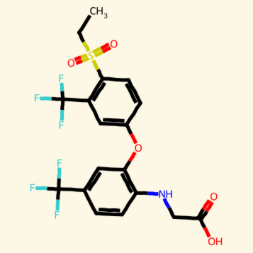 CCS(=O)(=O)c1ccc(Oc2cc(C(F)(F)F)ccc2NCC(=O)O)cc1C(F)(F)F